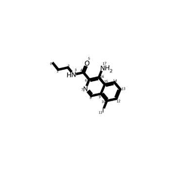 CCCNC(=O)c1ncc2c(I)cccc2c1N